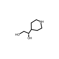 OC[C@H](O)C1CCNCC1